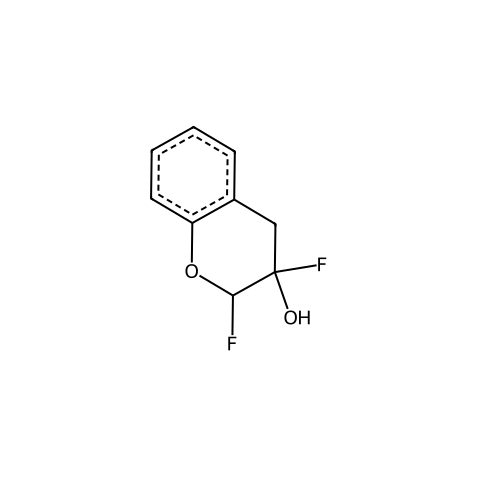 OC1(F)Cc2ccccc2OC1F